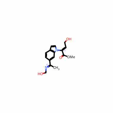 COC(=O)/C(=C/CO)n1ccc2ccc(/C(C)=N/CO)cc21